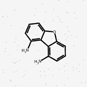 Nc1cccc2oc3cccc(N)c3c12